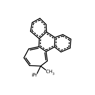 CC(C)C1(C)C=CC=c2c(c3ccccc3c3ccccc23)=C1